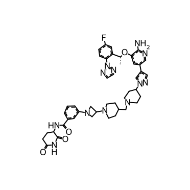 C[C@@H](Oc1cc(-c2cnn(C3CCN(CC4CCN(C5CN(c6cccc(C(=O)NC7CCC(=O)NC7=O)c6)C5)CC4)CC3)c2)cnc1N)c1cc(F)ccc1-n1nccn1